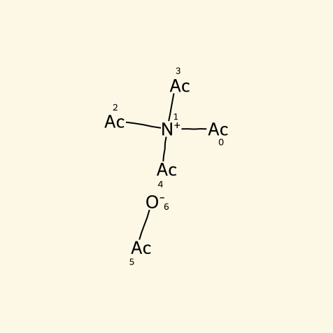 CC(=O)[N+](C(C)=O)(C(C)=O)C(C)=O.CC(=O)[O-]